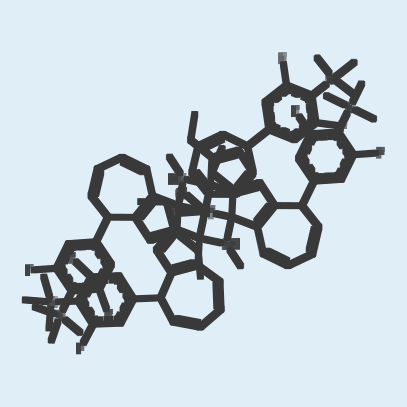 CCC1=CC2=C(C=CC=CC2c2cc(F)c([Si](C)(C)C)c(F)c2)[C]12[SiH](C)[C]1(C(CC)=CC3=C1C=CC=CC3c1cc(F)c([Si](C)(C)C)c(F)c1)[Hf]21([Cl])([Cl])[C]2(C(CC)=CC3=C2C=CC=CC3c2cc(F)c([Si](C)(C)C)c(F)c2)[SiH](C)[C]12C(CC)=CC1=C2C=CC=CC1c1cc(F)c([Si](C)(C)C)c(F)c1